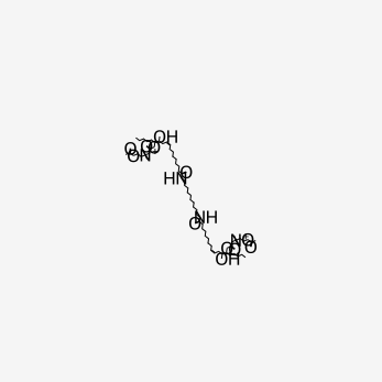 CCCCCC(OC(=O)C[N+](C)(C)CCOC(C)=O)C(O)C/C=C\CCCCCCCC(=O)NCCCCCCCCCCNC(=O)CCCCCCC/C=C\CC(O)C(CCCCC)OC(=O)C[N+](C)(C)CCOC(C)=O